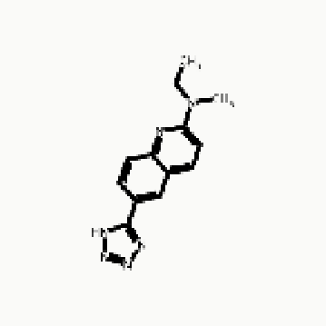 CCN(C)c1ccc2cc(-c3nnn[nH]3)ccc2n1